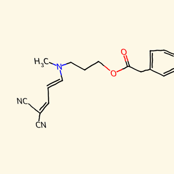 CN(/C=C/C=C(C#N)C#N)CCCOC(=O)Cc1ccccc1